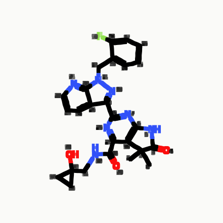 CC1(C)C(=O)Nc2nc(-c3nn(Cc4ccccc4F)c4ncccc34)nc(C(=O)NCC3(O)CC3)c21